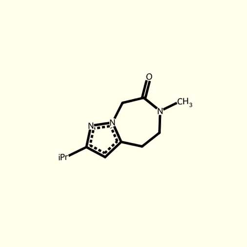 CC(C)c1cc2n(n1)CC(=O)N(C)CC2